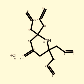 C=CCC1(CC=C)CC(=O)CC(CC=C)(CC=C)N1.Cl